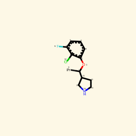 CC(C)C(Oc1cccc(F)c1Cl)C1CCNC1